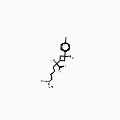 NC1(c2ccc(Cl)cc2)CC(C(N)(CCCCB(O)O)C(=O)O)C1